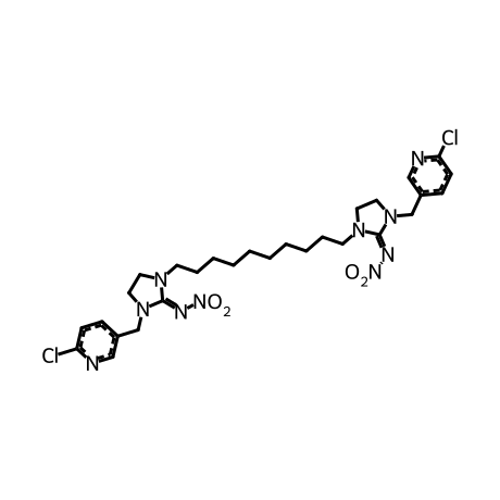 O=[N+]([O-])/N=C1\N(CCCCCCCCCCN2CCN(Cc3ccc(Cl)nc3)/C2=N/[N+](=O)[O-])CCN1Cc1ccc(Cl)nc1